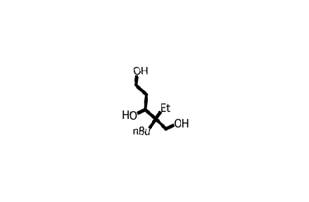 CCCCC(CC)(CO)C(O)CCO